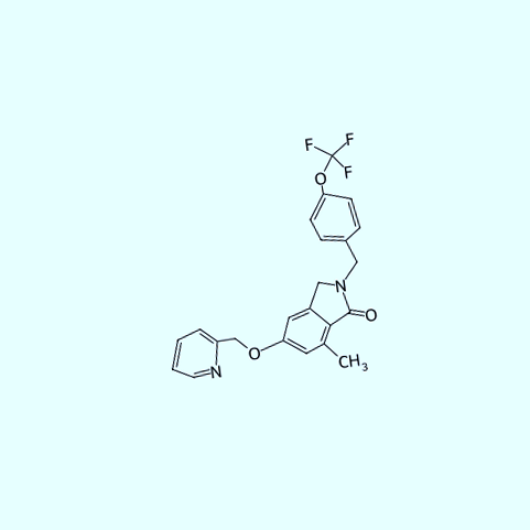 Cc1cc(OCc2ccccn2)cc2c1C(=O)N(Cc1ccc(OC(F)(F)F)cc1)C2